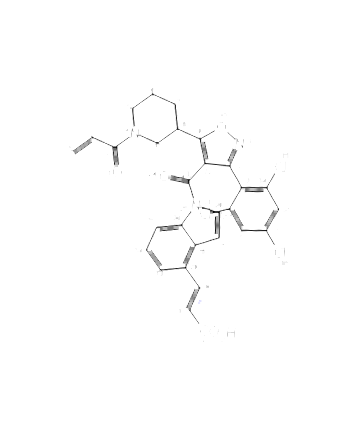 C=CC(=O)N1CCCC(c2onc(-c3c(Cl)cc(Cl)cc3Cl)c2C(=O)n2ccc3c(/C=C/C(=O)O)cccc32)C1